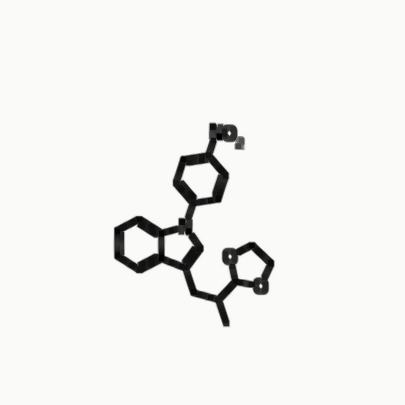 CC(Cc1cn(-c2ccc([N+](=O)[O-])cc2)c2ccccc12)C1OCCO1